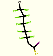 FC(F)(F)C(F)(F)C(F)(F)C(F)(F)C(F)(F)C(F)(F)CC(S)I